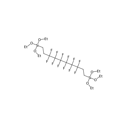 CCO[Si](CCC(F)(F)C(F)(F)C(F)(F)C(F)(F)C(F)(F)C(F)(F)CC[Si](OCC)(OCC)OCC)(OCC)OCC